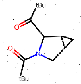 CC(C)(C)C(=O)C1C2CC2CN1C(=O)C(C)(C)C